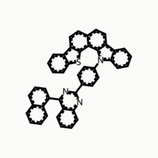 c1ccc2c(-c3nc(-c4ccc(-n5c6ccccc6c6ccc7ccc8c9ccccc9sc8c7c65)cc4)nc4ccccc34)cccc2c1